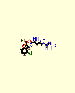 CCC1OC([C@@H](N)CCCNC(=N)N)=NC(CC)(c2ccccc2Cl)C1=O